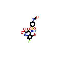 O=C=Nc1ccc(S(=O)(=O)NC2C=C(C(=O)O)Nc3cc(F)cc(Br)c32)cc1